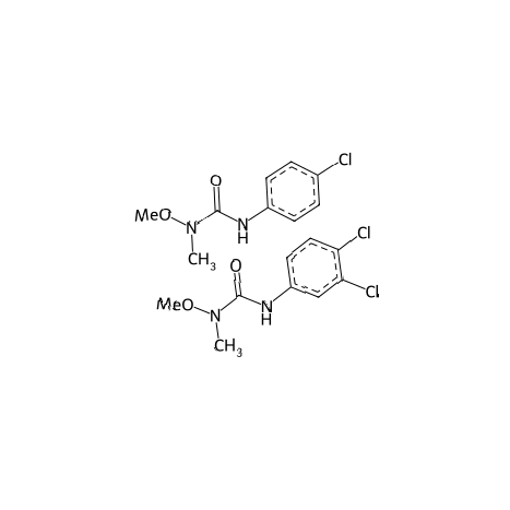 CON(C)C(=O)Nc1ccc(Cl)c(Cl)c1.CON(C)C(=O)Nc1ccc(Cl)cc1